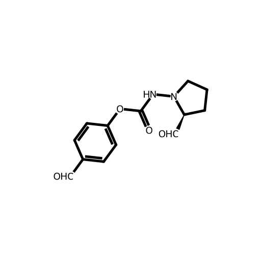 O=Cc1ccc(OC(=O)NN2CCC[C@H]2C=O)cc1